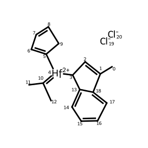 CC1=C[CH]([Hf+2]([C]2=CC=CC2)=[C](C)C)c2ccccc21.[Cl-].[Cl-]